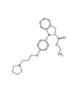 CCOC(=O)C1Cc2ccccc2N1c1ccc(OCCCN2CCCC2)cc1